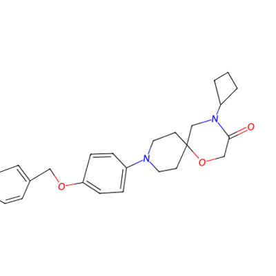 O=C1COC2(CCN(c3ccc(OCc4ccccc4)cc3)CC2)CN1C1CCC1